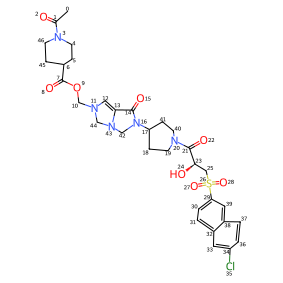 CC(=O)N1CCC(C(=O)OCN2C=C3C(=O)N(C4CCN(C(=O)[C@H](O)CS(=O)(=O)c5ccc6cc(Cl)ccc6c5)CC4)CN3C2)CC1